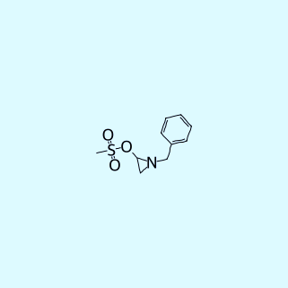 CS(=O)(=O)OC1CN1Cc1ccccc1